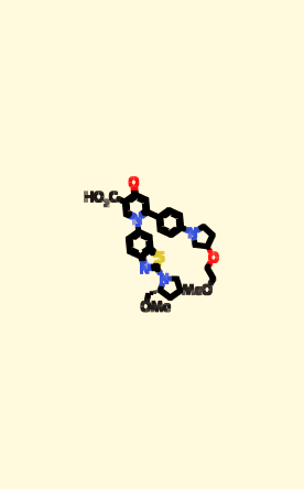 COCCO[C@@H]1CCN(c2ccc(-c3cc(=O)c(C(=O)O)cn3-c3ccc4nc(N5CCC[C@@H]5COC)sc4c3)cc2)C1